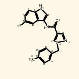 O=C(Nc1c[nH]c2ccc(F)cc12)c1cnn(Cc2ccc(C(F)(F)F)cc2)c1